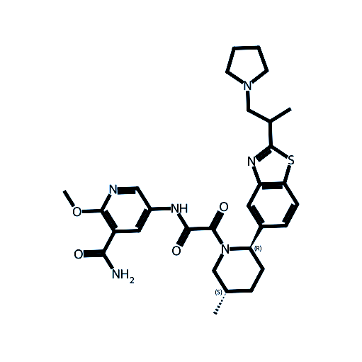 COc1ncc(NC(=O)C(=O)N2C[C@@H](C)CC[C@@H]2c2ccc3sc(C(C)CN4CCCC4)nc3c2)cc1C(N)=O